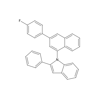 Fc1ccc(-c2cc(-n3c(-c4ccccc4)cc4ccccc43)c3ccccc3c2)cc1